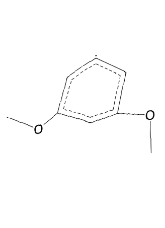 COc1c[c]cc(OC)c1